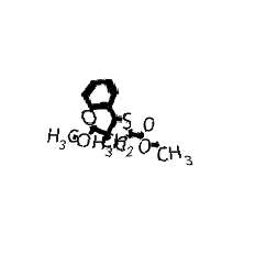 C=C(C(=O)OC)C(SC(C)C(=O)OCC)c1ccccc1